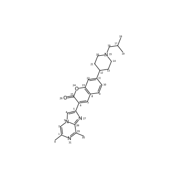 Cc1cn2cc(-c3cc4ccc(C5CCN(CC(C)C)CC5)cc4oc3=O)nc2c(C)n1